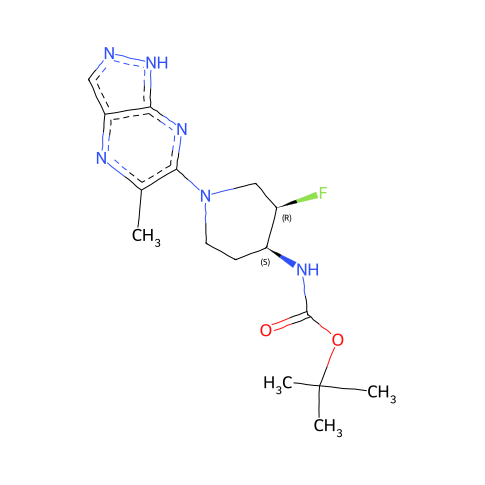 Cc1nc2cn[nH]c2nc1N1CC[C@H](NC(=O)OC(C)(C)C)[C@H](F)C1